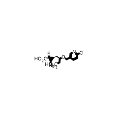 NC1[C@@H](C[C@H](CC(=O)O)OCc2ccc(Cl)nc2)[C@]1(F)C(=O)O